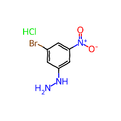 Cl.NNc1cc(Br)cc([N+](=O)[O-])c1